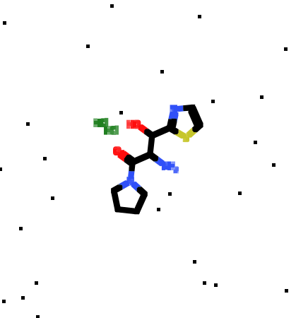 Cl.Cl.NC(C(=O)N1CCCC1)C(O)c1nccs1